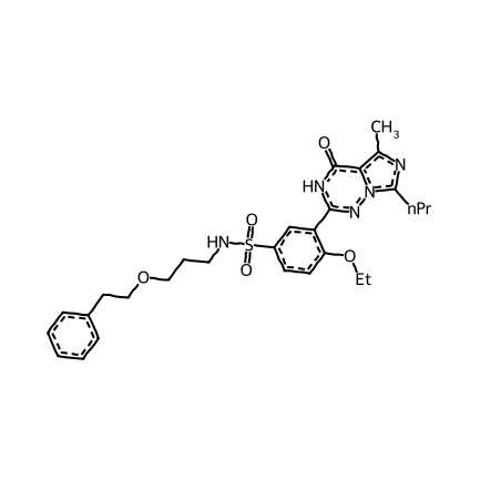 CCCc1nc(C)c2c(=O)[nH]c(-c3cc(S(=O)(=O)NCCCOCCc4ccccc4)ccc3OCC)nn12